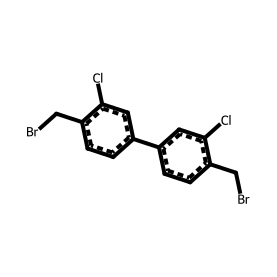 Clc1cc(-c2ccc(CBr)c(Cl)c2)ccc1CBr